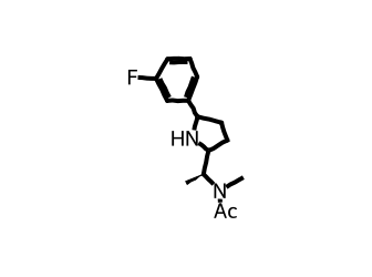 CC(=O)N(C)[C@@H](C)C1CCC(c2cccc(F)c2)N1